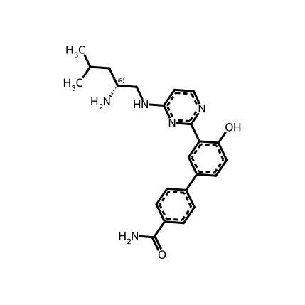 CC(C)C[C@@H](N)CNc1ccnc(-c2cc(-c3ccc(C(N)=O)cc3)ccc2O)n1